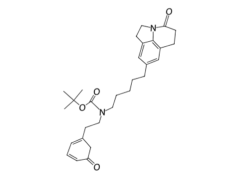 CC(C)(C)OC(=O)N(CCCCCc1cc2c3c(c1)CCN3C(=O)CC2)CCC1=CC=CC(=O)C1